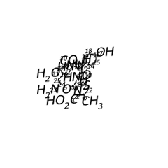 CC1=C(C(=O)O)N2C(=O)[C@@H](NC(=O)[C@H](N)c3ccc(O)cc3)[C@H]2SC1.NCCCCC(N)C(=O)O.O